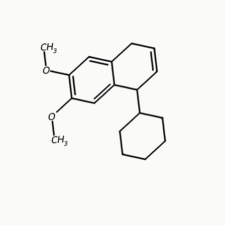 COc1cc2c(cc1OC)C(C1CCCCC1)C=CC2